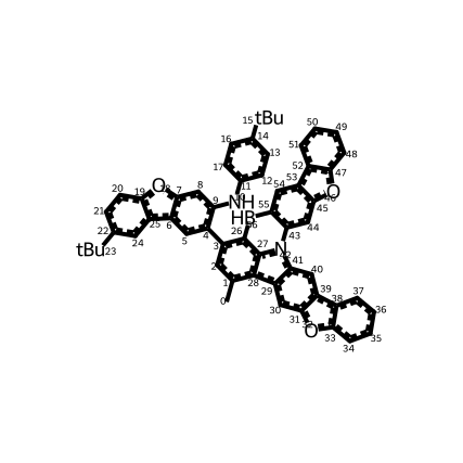 Cc1cc(-c2cc3c(cc2Nc2ccc(C(C)(C)C)cc2)oc2ccc(C(C)(C)C)cc23)c2c3c1c1cc4oc5ccccc5c4cc1n3-c1cc3oc4ccccc4c3cc1B2